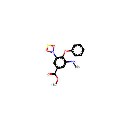 CCCCNc1cc(C(=O)OCCCC)cc(N2OSO2)c1Oc1ccccc1